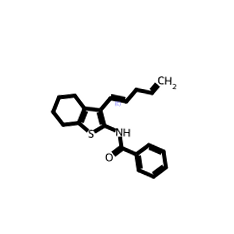 C=CC/C=C/c1c(NC(=O)c2ccccc2)sc2c1CCCC2